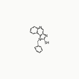 Sc1nc2cnc3ccccc3c2n1Cc1ccccc1